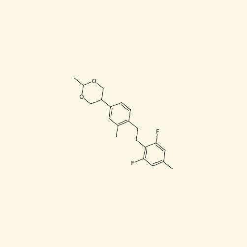 Cc1cc(F)c(CCc2ccc(C3COC(C)OC3)cc2C)c(F)c1